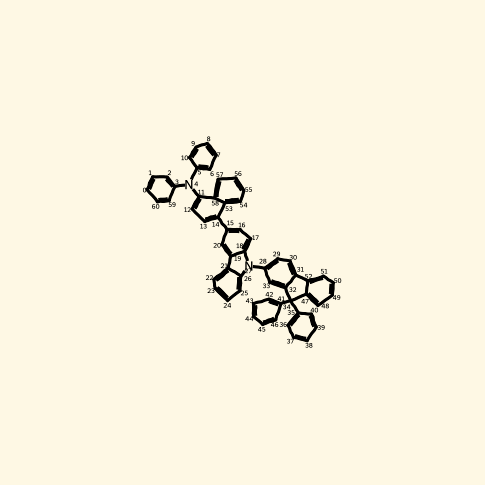 c1ccc(N(c2ccccc2)c2ccc(-c3ccc4c(c3)c3ccccc3n4-c3ccc4c(c3)C(c3ccccc3)(c3ccccc3)c3ccccc3-4)c3ccccc23)cc1